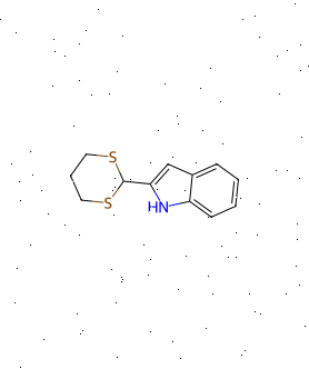 c1ccc2[nH]c(C3SCCCS3)cc2c1